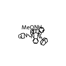 COC(=O)C(N)(c1ccccc1)C1C(=O)N(CCN2CCOCC2)c2ccccc2N(CC23CC4CC(CC(C4)C2)C3)C1=O